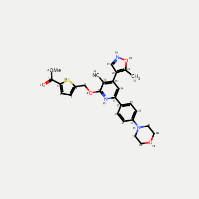 COC(=O)c1ccc(COc2nc(-c3ccc(N4CCOCC4)cc3)cc(-c3cnoc3C)c2C#N)s1